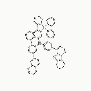 C1=C(c2ccc(N(c3ccc4c(c3)C(c3ccccc3)(c3ccccc3)c3ccccc3-4)c3cc(-c4ccc5ccccc5c4)ccc3-c3ccccc3)cc2)c2sc3ccccc3c2CC1